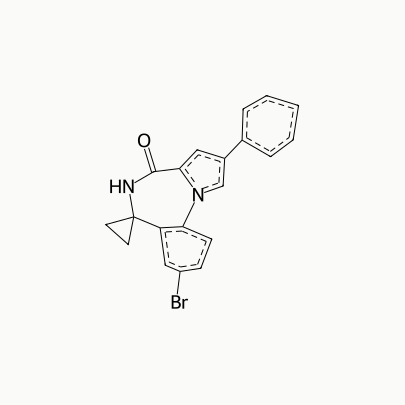 O=C1NC2(CC2)c2cc(Br)ccc2-n2cc(-c3ccccc3)cc21